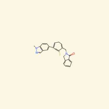 Cn1ncc2cc(C3=CCC=C(CN4Cc5ccccc5C4=O)C(F)=C3)ccc21